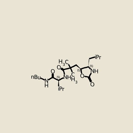 CCCCNC(=O)[C@@H](NC(=O)C(C)(C)C[C@@H]1OC(=O)N[C@H]1CC(C)C)C(C)C